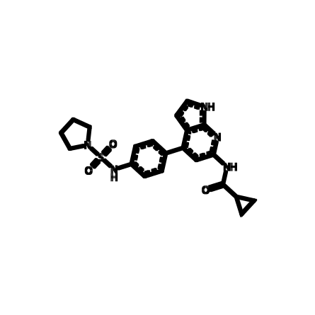 O=C(Nc1cc(-c2ccc(NS(=O)(=O)N3CCCC3)cc2)c2cc[nH]c2n1)C1CC1